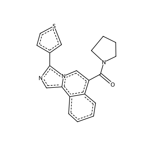 O=C(c1cn2c(-c3ccsc3)ncc2c2ccccc12)N1CCCC1